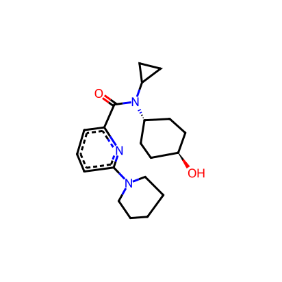 O=C(c1cccc(N2CCCCC2)n1)N(C1CC1)[C@H]1CC[C@H](O)CC1